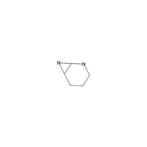 C1CC2C3N(C1)N23